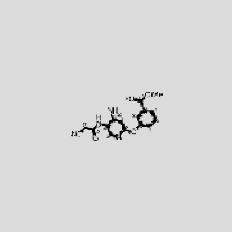 COC(=O)c1cccc(Oc2cc(N)c(NC(=O)CC#N)cn2)c1